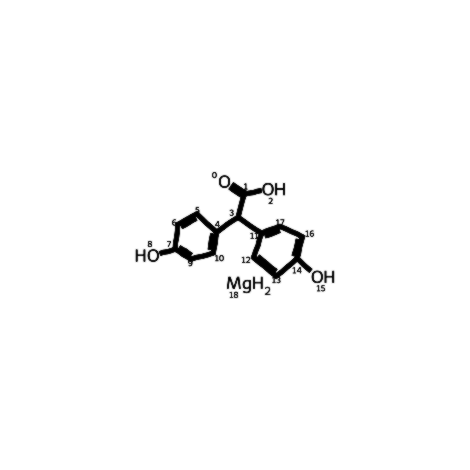 O=C(O)C(c1ccc(O)cc1)c1ccc(O)cc1.[MgH2]